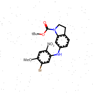 COc1cc([N+](=O)[O-])c(Nc2ccc3c(c2)N(C(=O)OC(C)(C)C)CC3)cc1Br